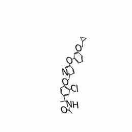 CC(=O)NC(C)c1ccc(OCc2ccc(Oc3cccc(OCC4CC4)c3)cn2)c(Cl)c1